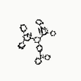 c1ccc(-c2cc(-c3cc(-c4ccc(N(c5ccccc5)c5ccccc5)cc4)cc(-c4cc(-c5ccccc5)nc(-c5ccccc5)n4)c3)nc(-c3ccccc3)n2)cc1